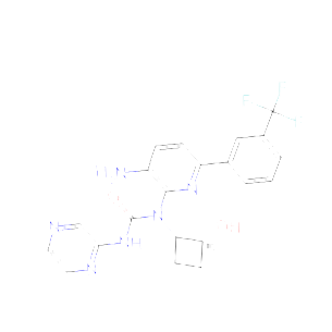 Nc1ccc(-c2cccc(C(F)(F)F)c2)nc1N(C(=O)Nc1cnccn1)C1CC[C@H]1O